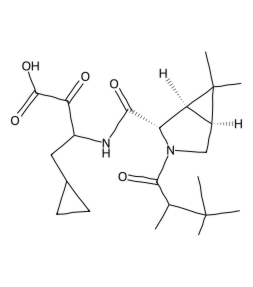 CC(C(=O)N1C[C@H]2[C@@H]([C@H]1C(=O)NC(CC1CC1)C(=O)C(=O)O)C2(C)C)C(C)(C)C